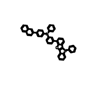 c1ccc(N(c2ccc(-c3ccc4ccccc4c3)cc2)c2cccc(-c3cccc4c3oc3c5ccccc5n(-c5ccccc5)c43)c2)cc1